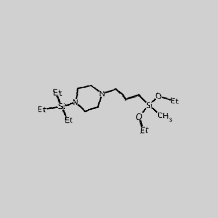 CCO[Si](C)(CCCN1CCN([Si](CC)(CC)CC)CC1)OCC